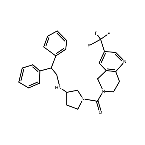 O=C(N1CCc2ncc(C(F)(F)F)cc2C1)N1CCC(NCC(c2ccccc2)c2ccccc2)C1